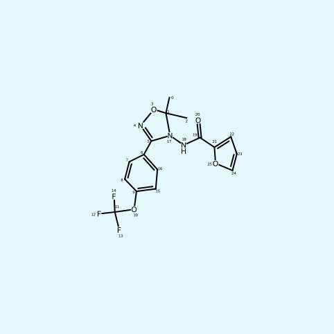 CC1(C)ON=C(c2ccc(OC(F)(F)F)cc2)N1NC(=O)c1ccco1